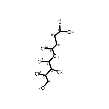 [O]CC(Cl)C(Cl)C(Cl)OC(Cl)CCC(F)Cl